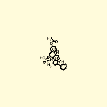 CC(=O)O[C@H]1CC[C@@]2(C)C(=CC[C@@H]3[C@@H]2CC[C@]2(C)C(c4cccnc4)=CC[C@@H]32)C1.CS(=O)(=O)O